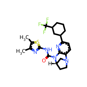 Cc1nc(NC(=O)N2c3nc(C4CCCC(C(F)(F)F)C4)ccc3N3CC[C@H]2C3)sc1C